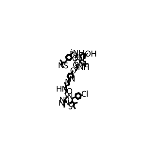 Cc1ncsc1-c1ccc([C@H](C)NC(=O)[C@@H]2C[C@@H](O)CN2C(=O)[C@@H](NC(=O)COc2ccc(N3CC(NC(=O)C[C@@H]4N=C(c5ccc(Cl)cc5)c5c(sc(C)c5C)-n5c(C)nnc54)C3)nc2)C(C)(C)C)cc1